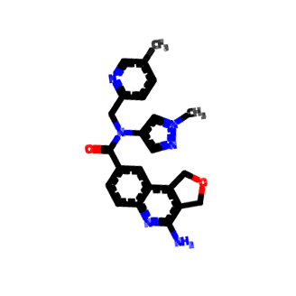 Cn1cc(N(Cc2ccc(C(F)(F)F)cn2)C(=O)c2ccc3nc(N)c4c(c3c2)COC4)cn1